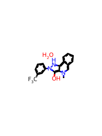 CN1C=c2ccccc2=C2NN(c3cccc(C(F)(F)F)c3)C(O)=C21.O